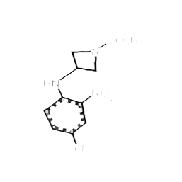 O=C(O)N1CC(Nc2ccc(Cl)cc2[N+](=O)[O-])C1